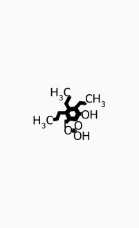 CCCc1c(O)c(OC(=O)O)c(I)c(CCC)c1CCC